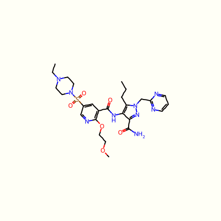 CCCc1c(NC(=O)c2cc(S(=O)(=O)N3CCN(CC)CC3)cnc2OCCOC)c(C(N)=O)nn1Cc1ncccn1